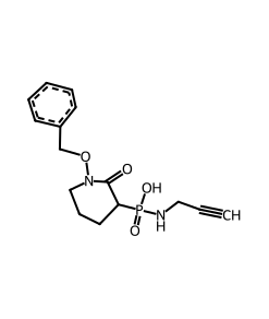 C#CCNP(=O)(O)C1CCCN(OCc2ccccc2)C1=O